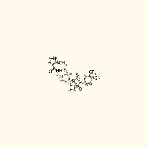 Cn1nccc1C(=O)NCc1ccc(N2C(=S)N(c3cnc(C#N)c(C(F)(F)F)c3)C(=O)C23CCC3)cc1F